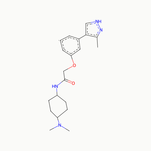 Cc1n[nH]cc1-c1c[c]cc(OCC(=O)NC2CCC(N(C)C)CC2)c1